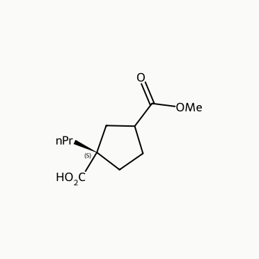 CCC[C@]1(C(=O)O)CCC(C(=O)OC)C1